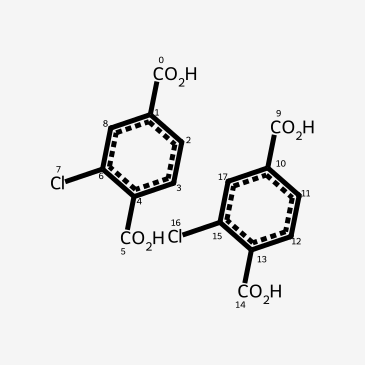 O=C(O)c1ccc(C(=O)O)c(Cl)c1.O=C(O)c1ccc(C(=O)O)c(Cl)c1